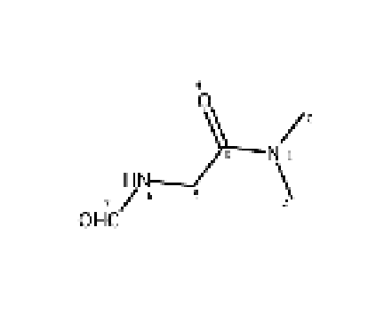 CN(C)C(=O)CNC=O